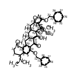 CN1CCC(N(C)C)c2cc(OCc3ccccc3)c3c(c21)C[C@H]1C[C@H]2Cc4onc(OCc5ccccc5)c4C(=O)C2(O[Si](C)(C)C(C)(C)C)C(O)=C1C3=O